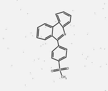 CS(=O)(=O)c1ccc(-c2nc3ccccc3c3ccccc23)cc1